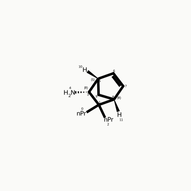 CCCC1(CCC)[C@H](N)[C@@H]2C=C[C@H]1C2